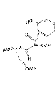 COc1cc(OC)nc(N(OC)C(=O)c2ccccc2O)n1